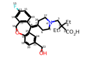 CCC(CC)(CN1CCC(=C2c3ccc(F)cc3COc3ccc(CO)cc32)CC1)C(=O)O